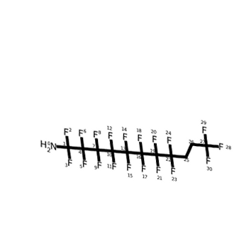 NC(F)(F)C(F)(F)C(F)(F)C(F)(F)C(F)(F)C(F)(F)C(F)(F)C(F)(F)CCC(F)(F)F